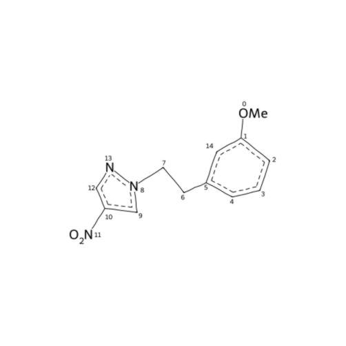 COc1cccc(CCn2cc([N+](=O)[O-])cn2)c1